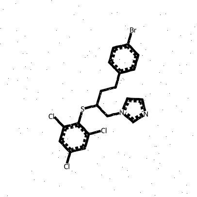 Clc1cc(Cl)c(SC(CCc2ccc(Br)cc2)Cn2ccnc2)c(Cl)c1